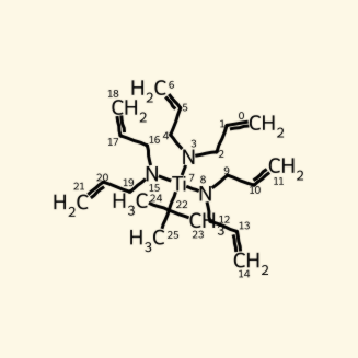 C=CC[N](CC=C)[Ti]([N](CC=C)CC=C)([N](CC=C)CC=C)[C](C)(C)C